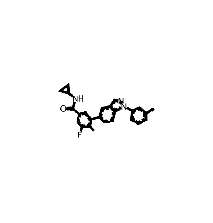 Cc1cccc(-n2ncc3cc(-c4cc(C(=O)NC5CC5)cc(F)c4C)ccc32)c1